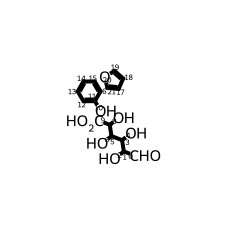 O=CC(O)C(O)C(O)C(O)C(=O)O.Oc1ccccc1.c1ccoc1